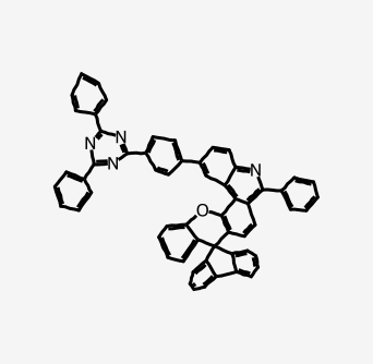 c1ccc(-c2nc(-c3ccccc3)nc(-c3ccc(-c4ccc5nc(-c6ccccc6)c6ccc7c(c6c5c4)Oc4ccccc4C74c5ccccc5-c5ccccc54)cc3)n2)cc1